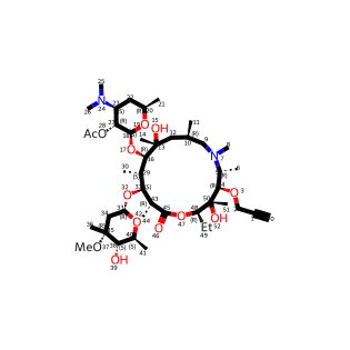 C#CCO[C@@H]1[C@@H](C)N(C)C[C@H](C)C[C@@](C)(O)[C@H](O[C@@H]2O[C@H](C)C[C@H](N(C)C)[C@H]2OC(C)=O)[C@@H](C)[C@H](O[C@H]2C[C@@](C)(OC)[C@@H](O)[C@H](C)O2)[C@@H](C)C(=O)O[C@H](CC)[C@@]1(C)O